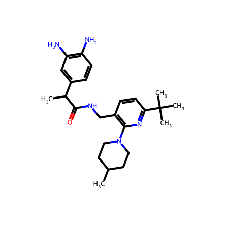 CC1CCN(c2nc(C(C)(C)C)ccc2CNC(=O)C(C)c2ccc(N)c(N)c2)CC1